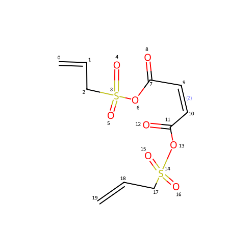 C=CCS(=O)(=O)OC(=O)/C=C\C(=O)OS(=O)(=O)CC=C